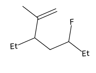 C=C(C)C(CC)CC(F)CC